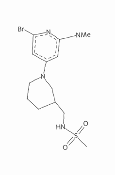 CNc1cc(N2CCCC(CNS(C)(=O)=O)C2)cc(Br)n1